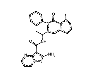 Cc1cccc2cc(C(C)NC(=O)c3c(N)nn4cccnc34)n(-c3ccccc3)c(=O)c12